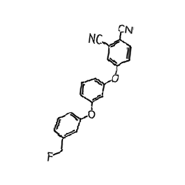 N#Cc1ccc(Oc2cccc(Oc3cccc(CF)c3)c2)cc1C#N